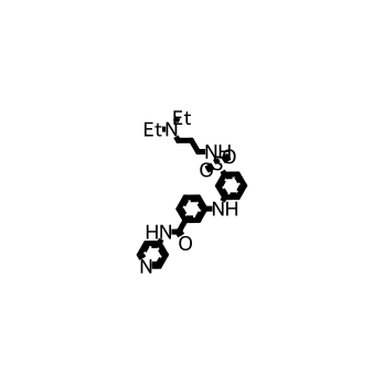 CCN(CC)CCCNS(=O)(=O)c1cccc(Nc2cccc(C(=O)Nc3ccncc3)c2)c1